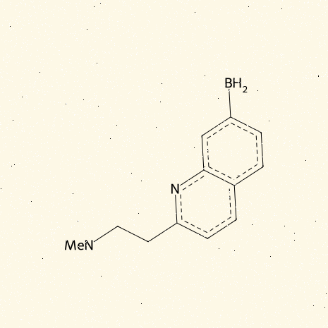 Bc1ccc2ccc(CCNC)nc2c1